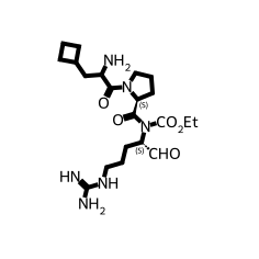 CCOC(=O)N(C(=O)[C@@H]1CCCN1C(=O)C(N)CC1CCC1)[C@H](C=O)CCCNC(=N)N